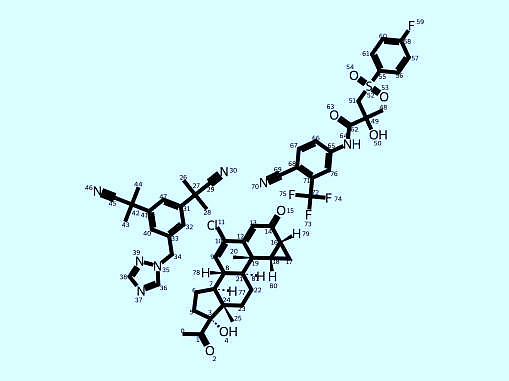 CC(=O)[C@@]1(O)CC[C@H]2[C@@H]3C=C(Cl)C4=CC(=O)[C@@H]5C[C@@H]5[C@]4(C)[C@H]3CC[C@@]21C.CC(C)(C#N)c1cc(Cn2cncn2)cc(C(C)(C)C#N)c1.CC(O)(CS(=O)(=O)c1ccc(F)cc1)C(=O)Nc1ccc(C#N)c(C(F)(F)F)c1